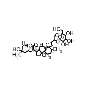 CC[C@H](CC[C@]1(C)C2=C(CCC1C)[C@]1(C)CCC([C@@H](CCCC(C)(C)O)C(=O)O)[C@@]1(C)CC2)OC1OC(CO)C(O)C(O)C1O